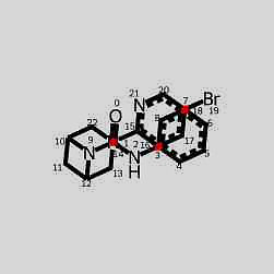 O=C(Nc1ccccc1)N1C2CC1CN(c1ccc(Br)cn1)C2